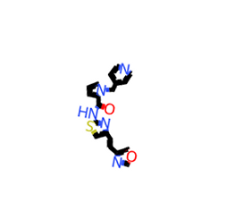 O=C(Nc1nc(C=Cc2cocn2)cs1)c1cccn1Cc1ccncc1